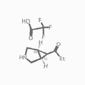 CCC(=O)C1[C@H]2CNC[C@@H]12.O=C(O)C(F)(F)F